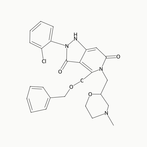 CN1CCOC(Cn2c(COCc3ccccc3)c3c(=O)n(-c4ccccc4Cl)[nH]c3cc2=O)C1